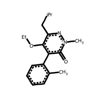 CCOc1c(CC(C)C)nn(C)c(=O)c1-c1ccccc1C